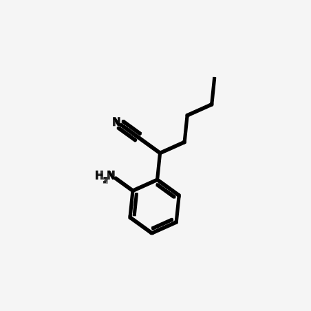 CCCCC(C#N)c1ccccc1N